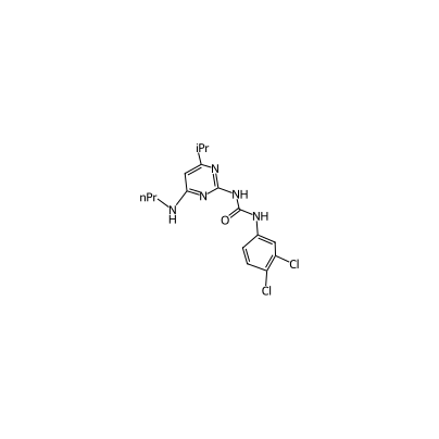 [CH2]CCNc1cc(C(C)C)nc(NC(=O)Nc2ccc(Cl)c(Cl)c2)n1